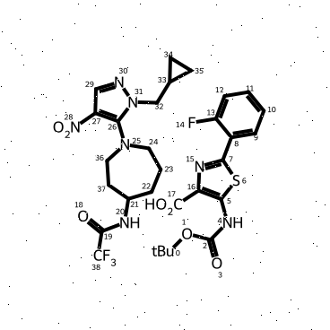 CC(C)(C)OC(=O)Nc1sc(-c2ccccc2F)nc1C(=O)O.O=C(NC1CCCN(c2c([N+](=O)[O-])cnn2CC2CC2)CC1)C(F)(F)F